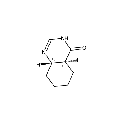 O=C1NC=N[C@H]2CCCC[C@H]12